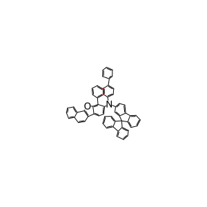 c1ccc(-c2ccc(N(c3ccc4c(c3)C3(c5ccccc5-c5ccccc53)c3ccccc3-4)c3ccc4c(oc5c6ccccc6ccc45)c3-c3ccccc3)cc2)cc1